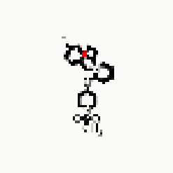 CS(=O)(=O)N1CCC(OC2C=CC=C[N+]2(Cc2ccc(F)cc2)C2CCC2)CC1